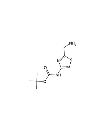 CC(C)(C)OC(=O)Nc1csc(CN)n1